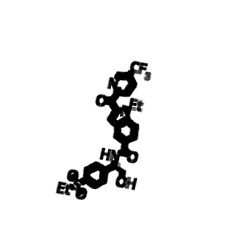 CCn1c(C(=O)c2ccc(C(F)(F)F)cn2)cc2cc(C(=O)N[C@@H](CO)c3ccc(S(=O)(=O)CC)cc3)ccc21